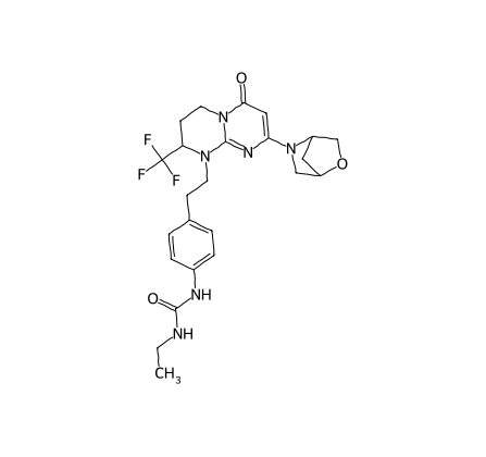 CCNC(=O)Nc1ccc(CCN2c3nc(N4CC5CC4CO5)cc(=O)n3CCC2C(F)(F)F)cc1